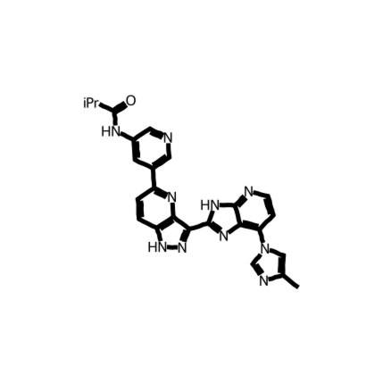 Cc1cn(-c2ccnc3[nH]c(-c4n[nH]c5ccc(-c6cncc(NC(=O)C(C)C)c6)nc45)nc23)cn1